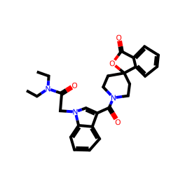 CCN(CC)C(=O)Cn1cc(C(=O)N2CCC3(CC2)OC(=O)c2ccccc23)c2ccccc21